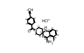 C#Cc1ccc(C(=O)N2CCC3(CC2)N=C(N)c2c(F)cccc2N3)cc1.Cl